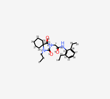 CCCN1C(=O)N(CC(=O)Nc2c(CC)cccc2CC)C(=O)C12CCCCC2